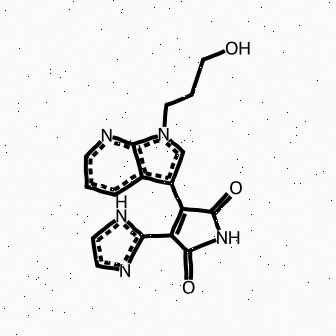 O=C1NC(=O)C(c2cn(CCCO)c3ncccc23)=C1c1ncc[nH]1